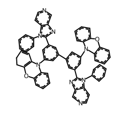 C1=CC2=C(CC1)Oc1ccccc1N2c1cc(-c2cc(-c3nc4cnccc4n3-c3ccccc3)cc(N3c4ccccc4Oc4ccccc43)c2)cc(-c2nc3cnccc3n2-c2ccccc2)c1